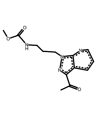 COC(=O)NCCCn1nc(C(C)=O)c2cccnc21